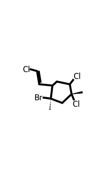 C[C@@]1(Cl)C[C@@](C)(Br)C(/C=C/Cl)CC1Cl